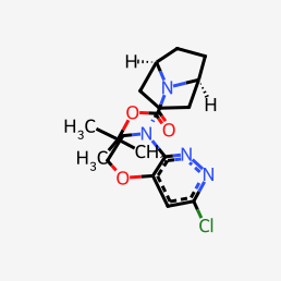 CC(C)(C)OC(=O)N1[C@@H]2CC[C@H]1C[C@H](N1CCOc3cc(Cl)nnc31)C2